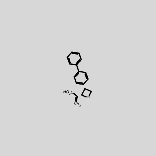 C1COC1.C=CC(=O)O.c1ccc(-c2ccccc2)cc1